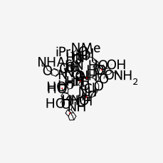 CN[C@H](CC(C)C)C(=O)N[C@H]1C(=O)N[C@@H](CC(=O)NC(=O)Nc2ccc(OCCNC(C)=O)cc2)C(=O)N[C@H]2C(=O)N[C@H]3C(=O)N[C@H](C(=O)N[C@H](C(=O)NC4C5CC6CC(C5)CC4C6)c4cc(O)cc(O)c4-c4cc3ccc4O)[C@H](O)c3ccc(c(Cl)c3)Oc3cc2cc(c3O[C@@H]2O[C@H](CN)[C@@H](O)[C@H](O)[C@H]2O)Oc2ccc(cc2C)[C@H]1O